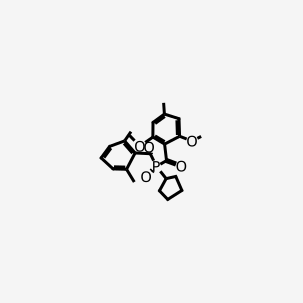 COc1cc(C)cc(OC)c1C(=O)P(=O)(C(=O)c1c(C)cccc1C)C1CCCC1